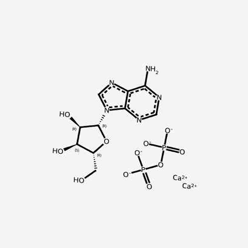 Nc1ncnc2c1ncn2[C@@H]1O[C@H](CO)[C@@H](O)[C@H]1O.O=P([O-])([O-])OP(=O)([O-])[O-].[Ca+2].[Ca+2]